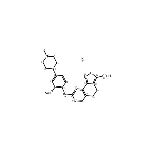 COc1cc(N2CCN(C)CC2)ccc1Nc1ncc2c(n1)-c1noc(C(=O)O)c1CC2.[K]